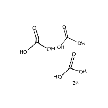 O=C(O)O.O=C(O)O.O=C(O)O.[Zn]